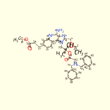 CCOCc1nc2c(N)nc3cc(CCC(=O)OCC)ccc3c2n1CC(C)(C)OC(=O)CN(Cc1ccccc1)Cc1ccccc1